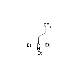 CC[PH](CC)(CC)CCC(F)(F)F